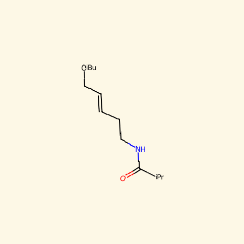 CC(C)COC/C=C/CCNC(=O)C(C)C